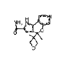 CC1(C2(C)Oc3cnccc3-c3[nH]c(C(N)=O)cc32)COC1